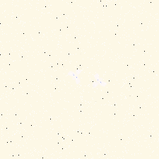 Clc1ccc2c3ccc(Cl)c4c3n(c2c1)c1cccc2c3ccccc3n4c21